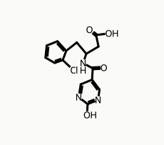 O=C(O)CC(Cc1ccccc1Cl)NC(=O)c1cnc(O)nc1